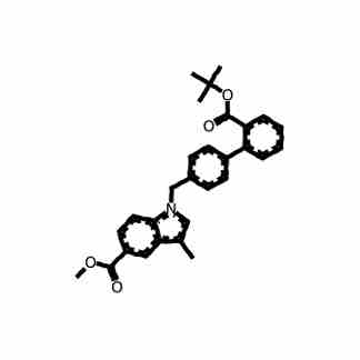 COC(=O)c1ccc2c(c1)c(C)cn2Cc1ccc(-c2ccccc2C(=O)OC(C)(C)C)cc1